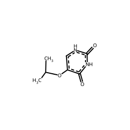 CC(C)Oc1c[nH]c(=O)[nH]c1=O